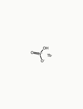 O=[N+]([O-])O.[Tb]